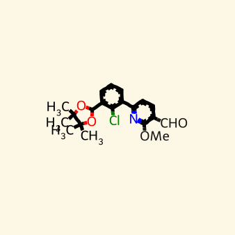 COc1nc(-c2cccc(C3OC(C)(C)C(C)(C)O3)c2Cl)ccc1C=O